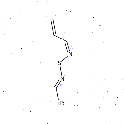 C=C/C=N\S/N=C/C(C)C